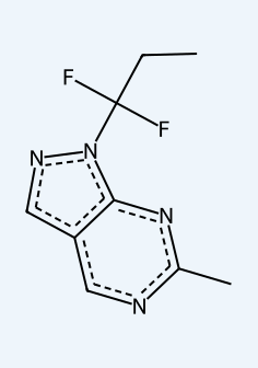 CCC(F)(F)n1ncc2cnc(C)nc21